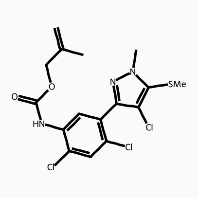 C=C(C)COC(=O)Nc1cc(-c2nn(C)c(SC)c2Cl)c(Cl)cc1Cl